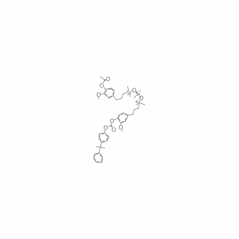 COc1cc(CCC[Si](C)(C)O[Si](C)(C)O[Si](C)(C)CCCc2ccc(OC(=O)Oc3ccc(C(C)(C)c4ccccc4)cc3)c(OC)c2)ccc1OC(C)=O